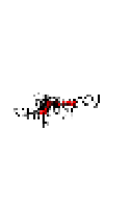 O=CNCC(=O)NC(CNC(=O)CCC(NC(=O)CCCCCCCCCCCCCCCCC(=O)O)C(=O)O)C(=O)O